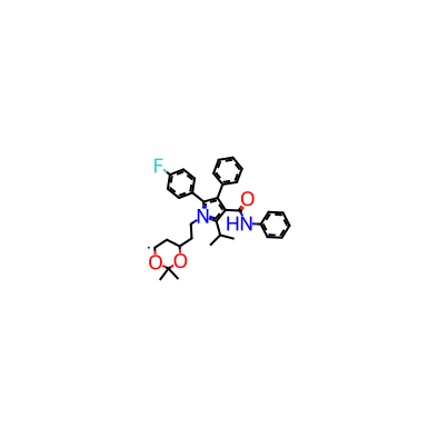 CC(C)c1c(C(=O)Nc2ccccc2)c(-c2ccccc2)c(-c2ccc(F)cc2)n1CCC1C[CH]OC(C)(C)O1